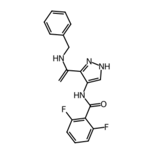 C=C(NCc1ccccc1)c1n[nH]cc1NC(=O)c1c(F)cccc1F